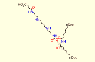 CCCCCCCCCCCCC/C=C/[C@@H](O)[C@H](COC(=O)NCCCNCCCCNCCCNC(=O)CCC(=O)O)NC(=O)CCCCCCCCCCCCCCC